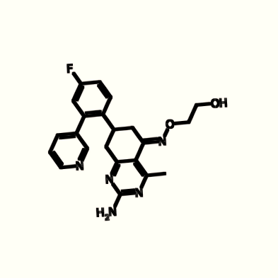 Cc1nc(N)nc2c1/C(=N/OCCO)CC(c1ccc(F)cc1-c1cccnc1)C2